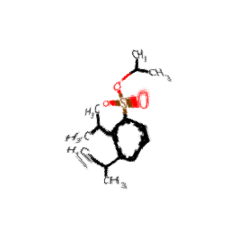 CC(C)OS(=O)(=O)c1cccc(C(C)C)c1C(C)C